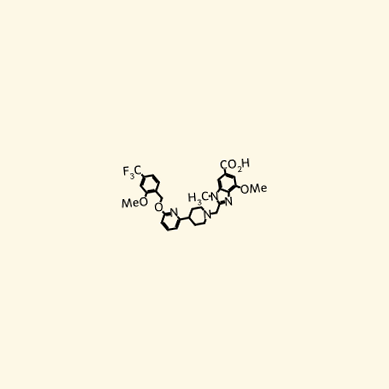 COc1cc(C(F)(F)F)ccc1COc1cccc(C2CCN(Cc3nc4c(OC)cc(C(=O)O)cc4n3C)CC2)n1